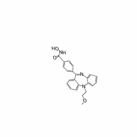 COCCN1c2ccccc2N=C(c2ccc(C(=O)NO)cc2)c2ccccc21